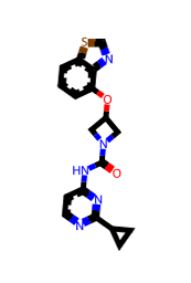 O=C(Nc1ccnc(C2CC2)n1)N1CC(Oc2cccc3scnc23)C1